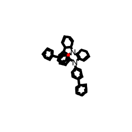 C1=CC2c3ccccc3N(C3=C(N(c4ccc(-c5ccccc5)cc4)c4ccc(-c5ccccc5)cc4)C=CCC3)C2C=C1